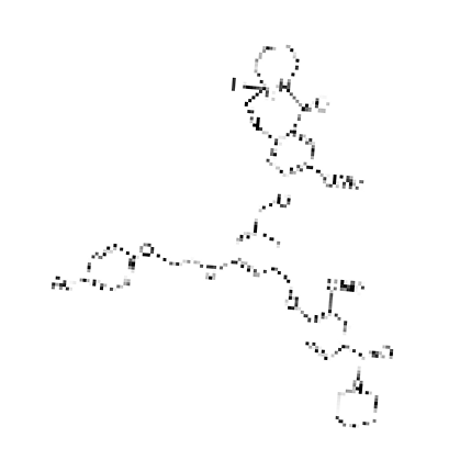 COc1cc(C(=O)N2CCCCC2)ccc1OCc1cc(COc2cc3c(cc2OC)C(=O)N2CCCC[C@H]2C=N3)cc(OCCOc2ccc(C(C)=O)cc2)c1